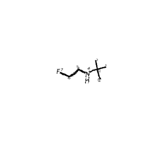 CC(C)(C)NCCF